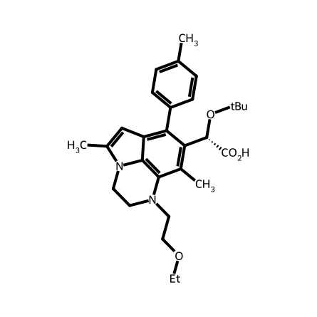 CCOCCN1CCn2c(C)cc3c(-c4ccc(C)cc4)c([C@H](OC(C)(C)C)C(=O)O)c(C)c1c32